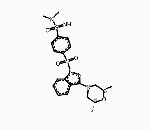 C[C@@H]1CN(c2nn(S(=O)(=O)c3ccc(S(=N)(=O)N(C)C)cc3)c3ccccc23)C[C@@H](C)O1